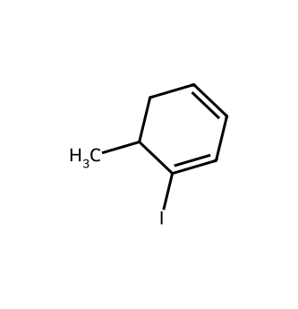 CC1CC=CC=C1I